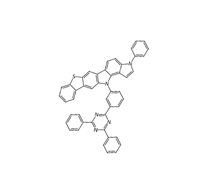 c1ccc(-c2nc(-c3ccccc3)nc(-c3cccc(-n4c5cc6c(cc5c5ccc7c(ccn7-c7ccccc7)c54)sc4ccccc46)c3)n2)cc1